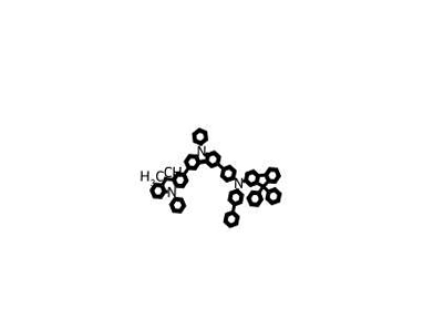 CC1(C)c2ccccc2N(c2ccccc2)c2ccc(-c3ccc4c(c3)c3cc(-c5ccc(N(c6ccc(-c7ccccc7)cc6)c6ccc7c(c6)C(c6ccccc6)(c6ccccc6)c6ccccc6-7)cc5)ccc3n4-c3ccccc3)cc21